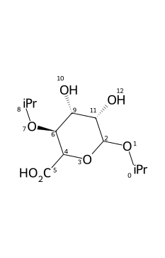 CC(C)OC1OC(C(=O)O)[C@@H](OC(C)C)[C@H](O)[C@@H]1O